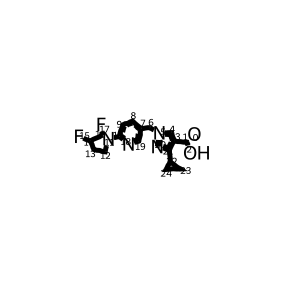 O=C(O)c1cn(Cc2ccc(N3CCC(F)C3F)nc2)nc1C1CC1